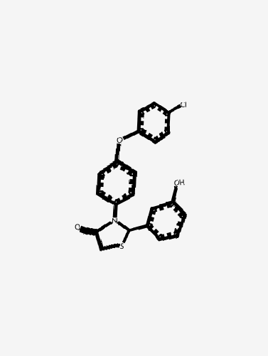 O=C1CSC(c2cccc(O)c2)N1c1ccc(Oc2ccc(Cl)cc2)cc1